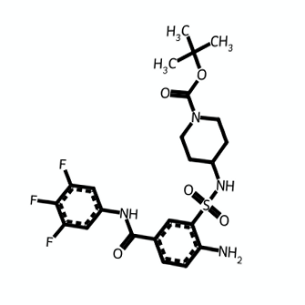 CC(C)(C)OC(=O)N1CCC(NS(=O)(=O)c2cc(C(=O)Nc3cc(F)c(F)c(F)c3)ccc2N)CC1